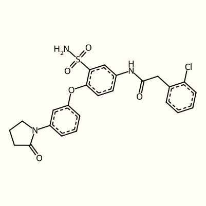 NS(=O)(=O)c1cc(NC(=O)Cc2ccccc2Cl)ccc1Oc1cccc(N2CCCC2=O)c1